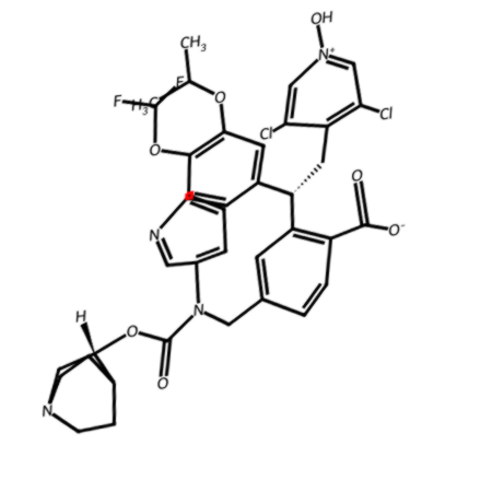 CC(C)Oc1cc([C@H](Cc2c(Cl)c[n+](O)cc2Cl)c2cc(CN(C(=O)O[C@H]3CN4CCC3CC4)c3cccnc3)ccc2C(=O)[O-])ccc1OC(F)F